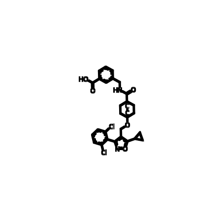 O=C(O)c1cccc(CNC(=O)C23CCC(OCc4c(-c5c(Cl)cccc5Cl)noc4C4CC4)(CC2)CC3)c1